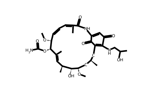 CO[C@H]1C[C@H](C)CC2=C(NCC(C)O)C(=O)C=C(NC(=O)/C(C)=C/C=C\[C@@H](OC)[C@@H](OC(N)=O)/C(C)=C/[C@H](C)[C@H]1O)C2=O